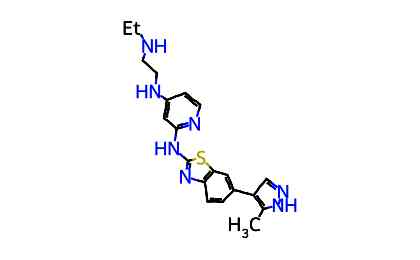 CCNCCNc1ccnc(Nc2nc3ccc(-c4cn[nH]c4C)cc3s2)c1